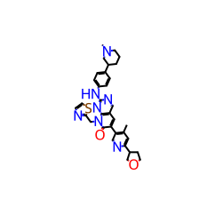 Cc1cc(C2CCOC2)ncc1-c1cc2cnc(Nc3ccc(C4CCCN(C)C4)cc3)nc2n(Cc2nccs2)c1=O